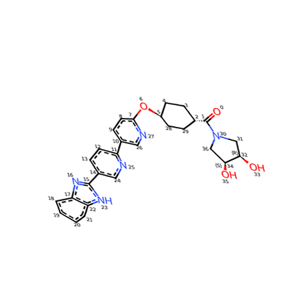 O=C([C@H]1CC[C@H](Oc2ccc(-c3ccc(-c4nc5ccccc5[nH]4)cn3)cn2)CC1)N1C[C@@H](O)[C@@H](O)C1